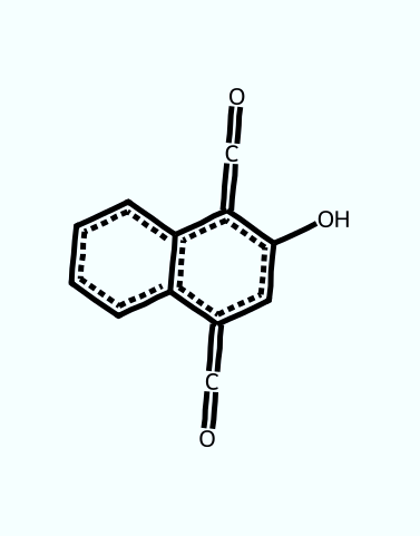 O=C=c1cc(O)c(=C=O)c2ccccc12